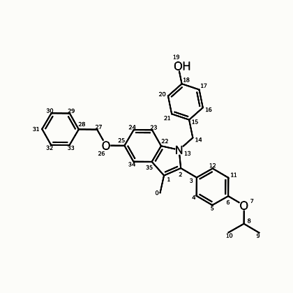 Cc1c(-c2ccc(OC(C)C)cc2)n(Cc2ccc(O)cc2)c2ccc(OCc3ccccc3)cc12